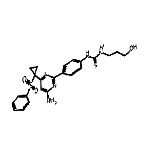 Nc1cc(C2(S(=O)(=O)c3ccccc3)CC2)nc(-c2ccc(NC(=S)NCCCO)cc2)n1